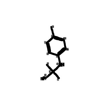 CCCC(C)(C)Bc1ccc(C)cc1